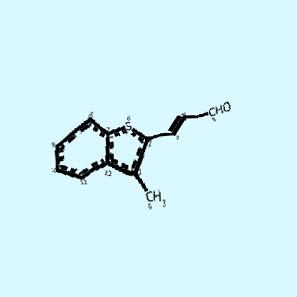 Cc1c(C=CC=O)sc2ccccc12